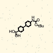 CC(C)(C)OC(=O)Nc1ccc(-c2ccc(B(O)O)cc2)cc1